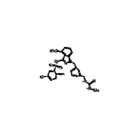 COc1cccc2c1c(NS(=O)(=O)C1=CC(Cl)=CCC1=S)nn2Cc1cccc(CNC(=O)NC(C)(C)C)c1